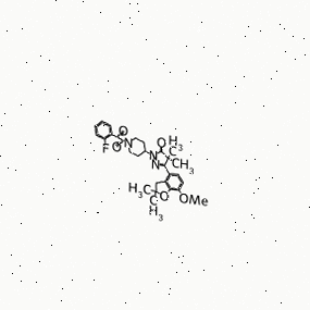 COc1ccc(C2=NN(C3CCN(S(=O)(=O)c4ccccc4F)CC3)C(=O)C2(C)C)c2c1OC(C)(C)C2